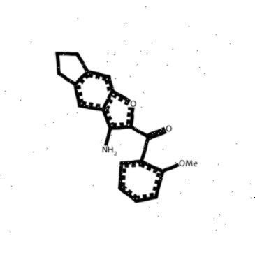 COc1ccccc1C(=O)c1oc2cc3c(cc2c1N)CCC3